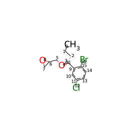 CCC[C@@H](OCC1CO1)c1cc(Cl)ccc1Br